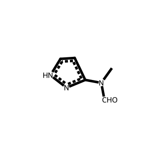 CN(C=O)c1cc[nH]n1